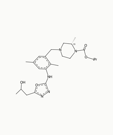 Cc1cc(CN2CCN(C(=O)OC(C)C)[C@@H](C)C2)c(C)c(Nc2nnc(CC(C)O)o2)c1